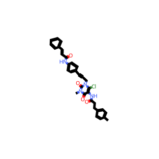 Cc1ccc(CCC(=O)Nc2c(Cl)n(CC#Cc3ccc(NC(=O)C=Cc4ccccc4)cc3)c(=O)n(C)c2=O)cc1